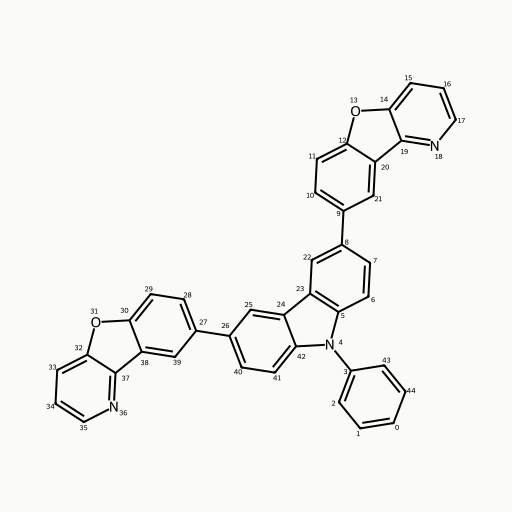 c1ccc(-n2c3ccc(-c4ccc5oc6cccnc6c5c4)cc3c3cc(-c4ccc5oc6cccnc6c5c4)ccc32)cc1